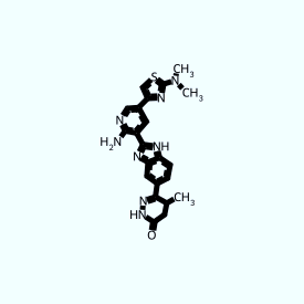 CC1CC(=O)NN=C1c1ccc2[nH]c(-c3cc(-c4csc(N(C)C)n4)cnc3N)nc2c1